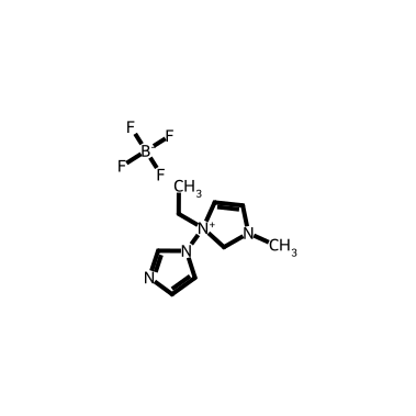 CC[N+]1(n2ccnc2)C=CN(C)C1.F[B-](F)(F)F